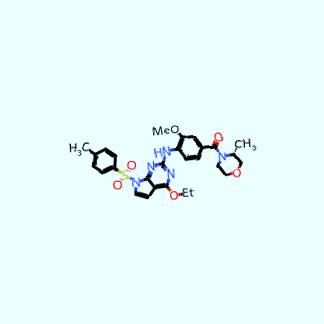 CCOc1nc(Nc2ccc(C(=O)N3CCOC[C@H]3C)cc2OC)nc2c1ccn2S(=O)(=O)c1ccc(C)cc1